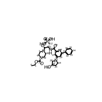 CCOC(=O)N1CCN(C(=O)[C@H](CP(=O)(O)O)NC(=O)c2cc(N3CC[C@@H](O)C3)cc(-c3ccccc3)n2)CC1